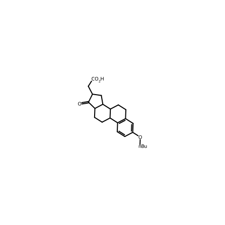 CCCCOc1ccc2c(c1)CCC1C2CCC2C(=O)C(CC(=O)O)CC21